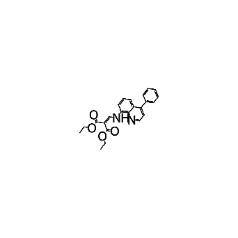 CCOC(=O)C(=CNc1cccc2c(-c3ccccc3)ccnc12)C(=O)OCC